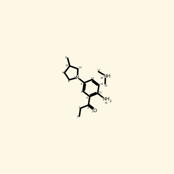 CCC(=O)c1cc(N2CCC(C)C2)ccc1N.CNC